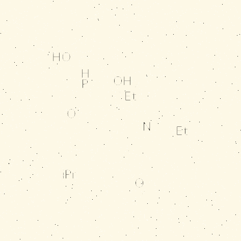 CCN(CC)C(=O)CC(C)C.O=[PH](O)O